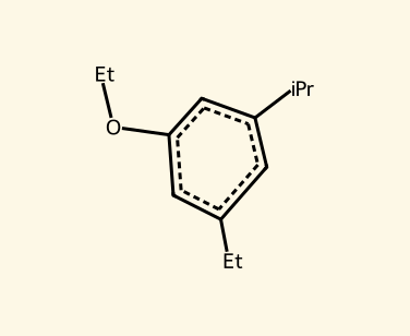 [CH2]C(C)c1cc(CC)cc(OCC)c1